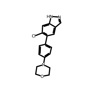 Clc1cc2[nH]ncc2cc1-c1ccc(N2CCOCC2)cc1